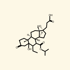 CCC1C(C(=O)OC(C)C)[C@H]2[C@@H]3CC[C@](O)(CCC(=O)O)[C@@]3(C)CC[C@@H]2[C@@]2(C)CCC(=O)CC12O